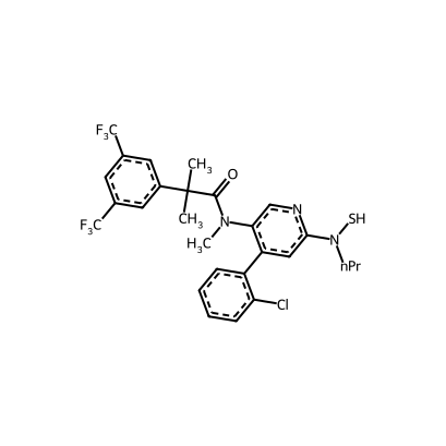 CCCN(S)c1cc(-c2ccccc2Cl)c(N(C)C(=O)C(C)(C)c2cc(C(F)(F)F)cc(C(F)(F)F)c2)cn1